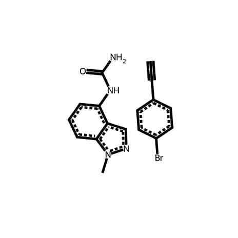 C#Cc1ccc(Br)cc1.Cn1ncc2c(NC(N)=O)cccc21